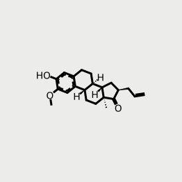 C=CC[C@@H]1C[C@H]2[C@@H]3CCc4cc(O)c(OC)cc4[C@H]3CC[C@]2(C)C1=O